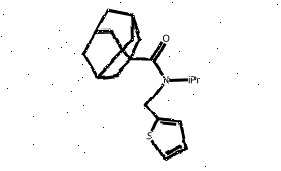 CC(C)N(Cc1cccs1)C(=O)C12CC3CC(CC(C3)C1)C2